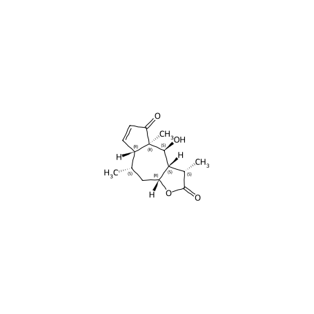 C[C@@H]1C(=O)O[C@@H]2C[C@H](C)[C@@H]3C=CC(=O)[C@@]3(C)[C@@H](O)[C@H]12